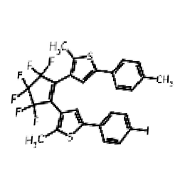 Cc1ccc(-c2cc(C3=C(c4cc(-c5ccc(I)cc5)sc4C)C(F)(F)C(F)(F)C3(F)F)c(C)s2)cc1